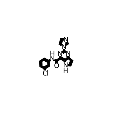 O=C(Nc1cccc(Cl)c1)c1nc(-n2ccnc2)nc2cc[nH]c12